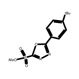 COS(=O)(=O)c1nnc(-c2ccc(C(C)(C)C)cc2)o1